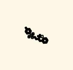 Cc1ccc(S(=O)(=O)OCCC2Cc3ccccc3OC2(C)C)cc1